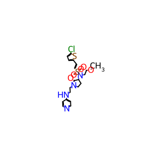 COC(=O)CN(C1CCN(CCNc2ccncc2)C1=O)S(=O)(=O)C=Cc1ccc(Cl)s1